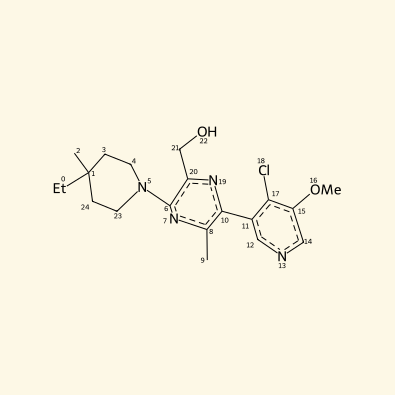 CCC1(C)CCN(c2nc(C)c(-c3cncc(OC)c3Cl)nc2CO)CC1